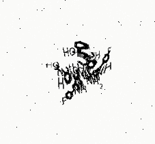 CCc1c(CNC(C)CO)cccc1Nc1c(C(N)=O)cnc2[nH]c(-c3ccc(F)cc3)cc12.CCc1c(CN[C@H](CO)c2ccccc2)cccc1Nc1c(C(N)=O)cnc2[nH]c(-c3ccc(F)cc3)cc12